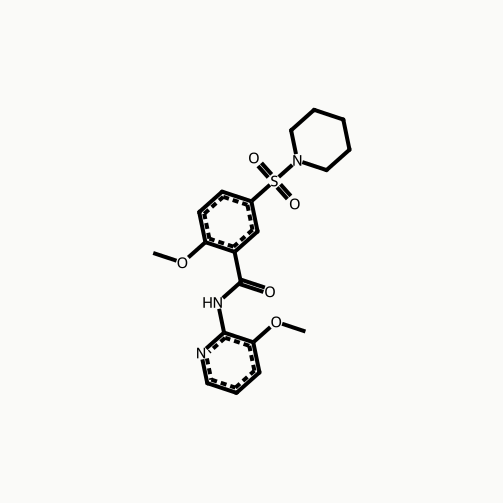 COc1ccc(S(=O)(=O)N2CCCCC2)cc1C(=O)Nc1ncccc1OC